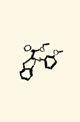 CCOC(=O)C1Cc2ccccc2N1c1cccc(OC)c1